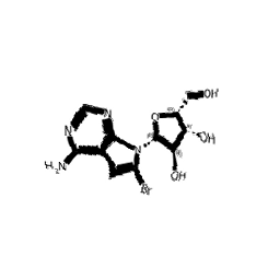 Nc1ncnc2c1cc(Br)n2[C@@H]1O[C@H](CO)[C@H](O)[C@H]1O